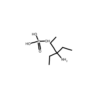 CCC(N)(CC)CC.O=P(O)(O)O